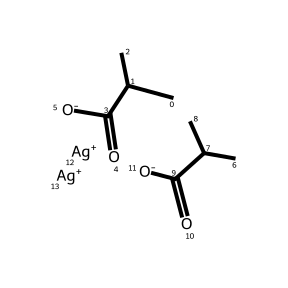 CC(C)C(=O)[O-].CC(C)C(=O)[O-].[Ag+].[Ag+]